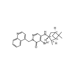 C[C@@H]1[C@H]2C[C@@H](C[C@H]1Nc1cnn(Cc3ccnc4ccccc34)c(=O)c1Br)C2(C)C